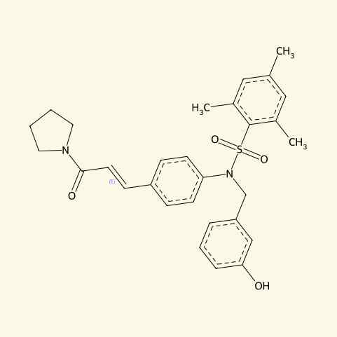 Cc1cc(C)c(S(=O)(=O)N(Cc2cccc(O)c2)c2ccc(/C=C/C(=O)N3CCCC3)cc2)c(C)c1